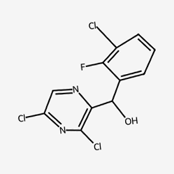 OC(c1cccc(Cl)c1F)c1ncc(Cl)nc1Cl